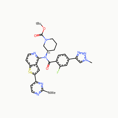 CNc1nccc(-c2cc3c(N(C(=O)c4ccc(-c5cn(C)nn5)cc4F)[C@@H]4CCCN(C(=O)OC(C)(C)C)C4)nccc3s2)n1